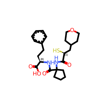 O=C(NC1(C(=O)N[C@H](CCc2ccccc2)C(=O)O)CCCC1)[C@@H](S)CC1CCOCC1